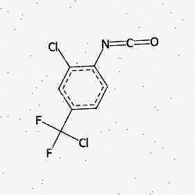 O=C=Nc1ccc(C(F)(F)Cl)cc1Cl